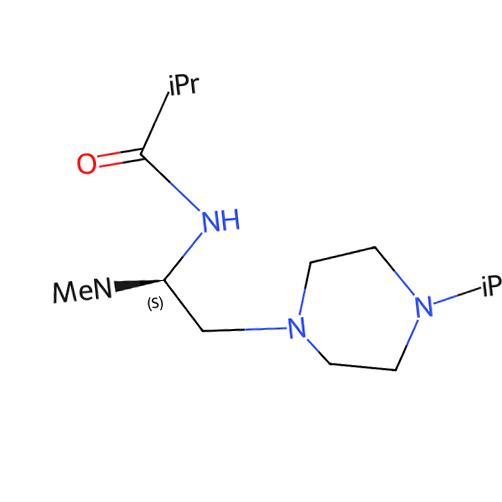 CN[C@H](CN1CCN(C(C)C)CC1)NC(=O)C(C)C